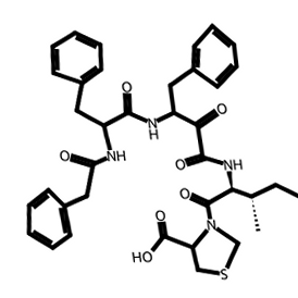 CC[C@H](C)[C@H](NC(=O)C(=O)C(Cc1ccccc1)NC(=O)C(Cc1ccccc1)NC(=O)Cc1ccccc1)C(=O)N1CSCC1C(=O)O